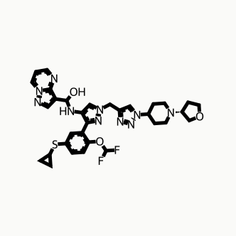 OC(Nc1cn(Cc2cn(C3CCN([C@@H]4CCOC4)CC3)nn2)nc1-c1cc(SC2CC2)ccc1OC(F)F)c1cnn2cccnc12